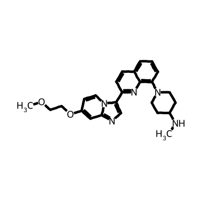 CNC1CCN(c2cccc3ccc(-c4cnc5cc(OCCOC)ccn45)nc23)CC1